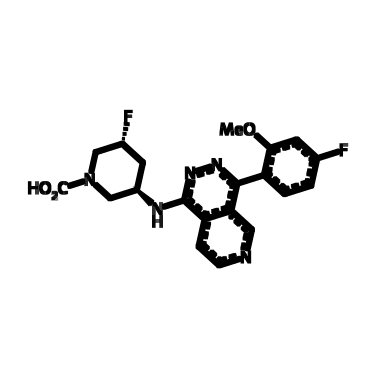 COc1cc(F)ccc1-c1nnc(N[C@@H]2C[C@@H](F)CN(C(=O)O)C2)c2ccncc12